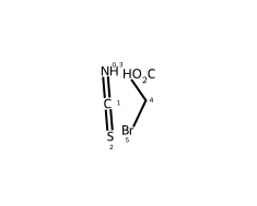 N=C=S.O=C(O)CBr